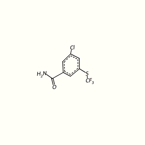 NC(=O)c1cc(Cl)cc(SC(F)(F)F)c1